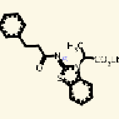 CCOC(=O)C(C)n1/c(=N/C(=O)CCc2ccccc2)sc2ccccc21